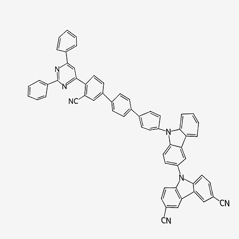 N#Cc1ccc2c(c1)c1cc(C#N)ccc1n2-c1ccc2c(c1)c1ccccc1n2-c1ccc(-c2ccc(-c3ccc(-c4cc(-c5ccccc5)nc(-c5ccccc5)n4)c(C#N)c3)cc2)cc1